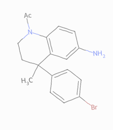 CC(=O)N1CCC(C)(c2ccc(Br)cc2)c2cc(N)ccc21